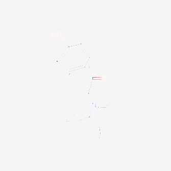 Cc1sc[n+](CC(=O)c2ccc(O)cc2)c1C